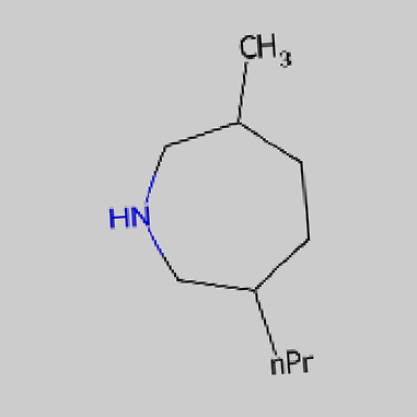 CCCC1CCC(C)CNC1